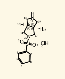 Cl.O=S(=O)(c1ccccc1)N1C[C@H]2CNC[C@H]2C1